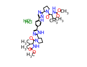 COC(=O)NC(C(=O)N1CCCC1c1ncc(-c2ccc(-c3cnc(C4CCCN4C(=O)[C@@H](NC(=O)OC)C(C)C)[nH]3)cc2)[nH]1)C(C)C.Cl.Cl